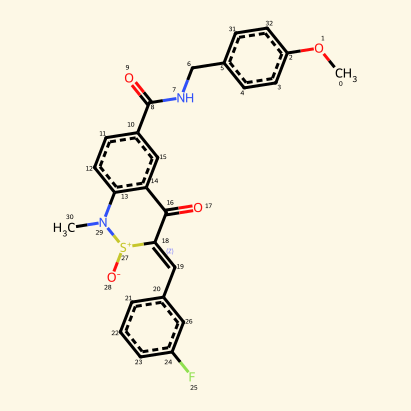 COc1ccc(CNC(=O)c2ccc3c(c2)C(=O)/C(=C/c2cccc(F)c2)[S+]([O-])N3C)cc1